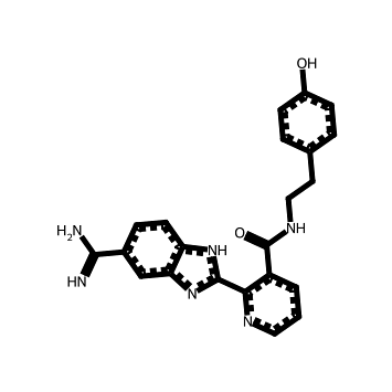 N=C(N)c1ccc2[nH]c(-c3ncccc3C(=O)NCCc3ccc(O)cc3)nc2c1